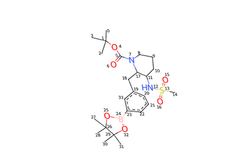 CC(C)(C)OC(=O)N1CCCC(NS(C)(=O)=O)C1Cc1cccc(B2OC(C)(C)C(C)(C)O2)c1